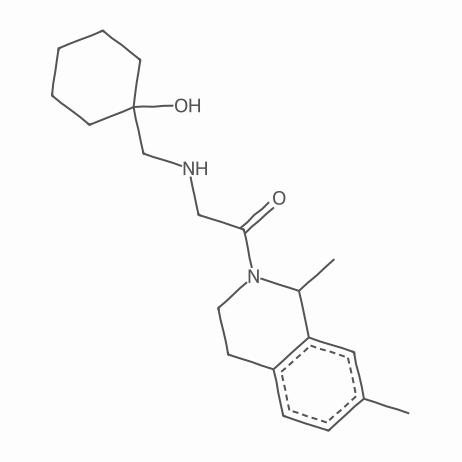 Cc1ccc2c(c1)C(C)N(C(=O)CNCC1(O)CCCCC1)CC2